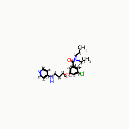 CCCN(C(=O)c1cc(Cl)cc(OCCCNc2ccncc2)c1)C(C)C